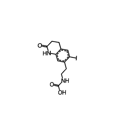 O=C(O)NCCc1cc2c(cc1I)CCC(=O)N2